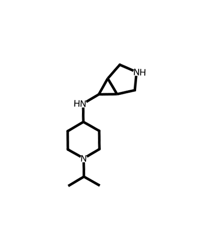 CC(C)N1CCC(NC2C3CNCC32)CC1